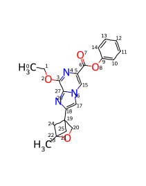 CCOc1nc(C(=O)Oc2ccccc2)cn2cc(C34COC(C)(C3)C4)nc12